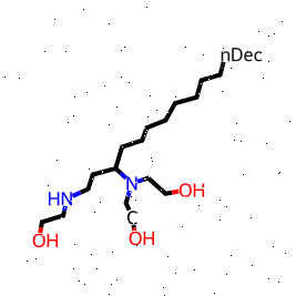 CCCCCCCCCCCCCCCCCCC(CCNCCO)N(CCO)CCO